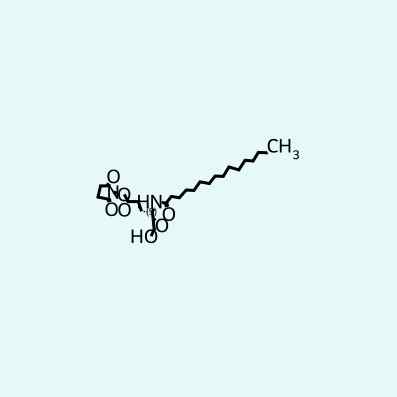 CCCCCCCCCCCCCCCC(=O)N[C@@H](CCC(=O)ON1C(=O)CCC1=O)C1OC1O